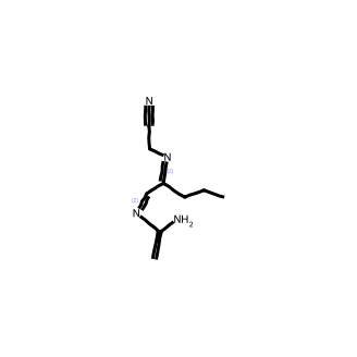 C=C(N)/N=C\C(CCC)=N/CC#N